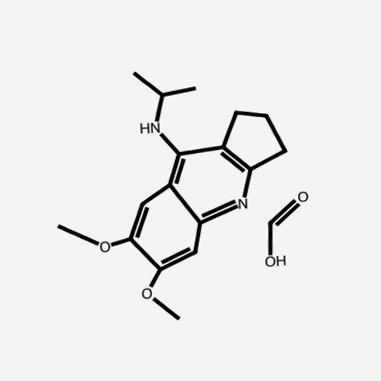 COc1cc2nc3c(c(NC(C)C)c2cc1OC)CCC3.O=CO